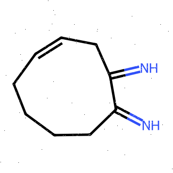 N=C1C/C=C\CCCCC1=N